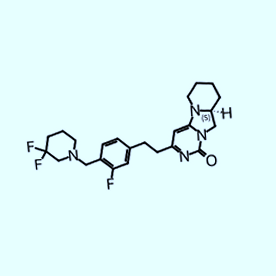 O=c1nc(CCc2ccc(CN3CCCC(F)(F)C3)c(F)c2)cc2n1C[C@@H]1CCCCN21